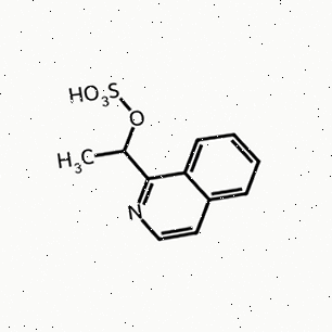 CC(OS(=O)(=O)O)c1nccc2ccccc12